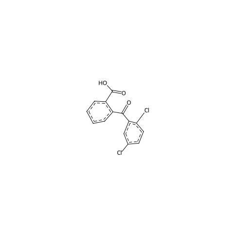 O=C(O)c1ccccc1C(=O)c1cc(Cl)ccc1Cl